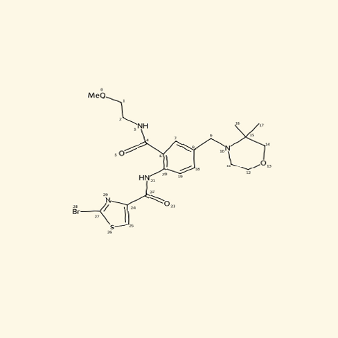 COCCNC(=O)c1cc(CN2CCOCC2(C)C)ccc1NC(=O)c1csc(Br)n1